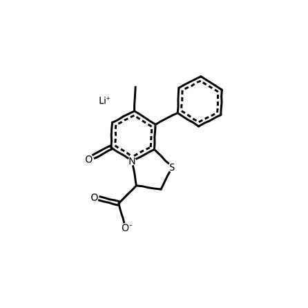 Cc1cc(=O)n2c(c1-c1ccccc1)SCC2C(=O)[O-].[Li+]